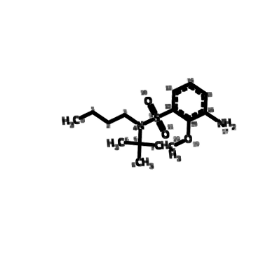 CCCCN(C(C)(C)C)S(=O)(=O)c1cccc(N)c1OC